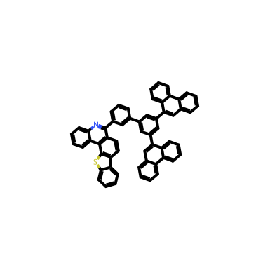 c1cc(-c2cc(-c3cc4ccccc4c4ccccc34)cc(-c3cc4ccccc4c4ccccc34)c2)cc(-c2nc3ccccc3c3c2ccc2c4ccccc4sc23)c1